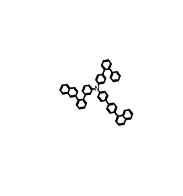 c1ccc(-c2ccccc2-c2ccc(N(c3ccc(-c4ccc(-c5cccc6ccccc56)cc4)cc3)c3cccc(-c4ccccc4-c4ccc5ccccc5c4)c3)cc2)cc1